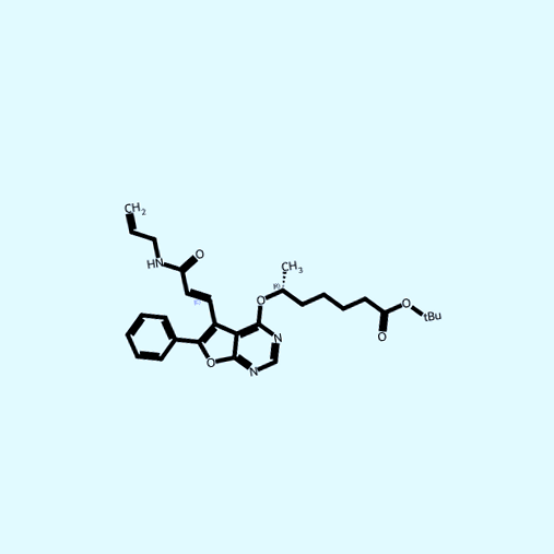 C=CCNC(=O)/C=C/c1c(-c2ccccc2)oc2ncnc(O[C@H](C)CCCCC(=O)OC(C)(C)C)c12